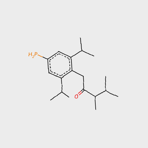 CC(C)c1cc(P)cc(C(C)C)c1CC(=O)C(C)C(C)C